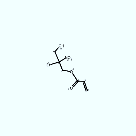 C=CC(=O)OCC(CC)(CO)[N+](=O)[O-]